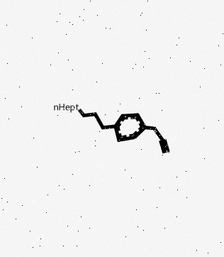 [C]#CCc1ccc(CCCCCCCCCC)cc1